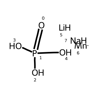 O=P(O)(O)O.[LiH].[Mn].[NaH]